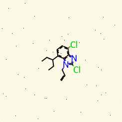 C=CCn1c(Cl)nc2c(Cl)ccc(C(CC)CC)c21